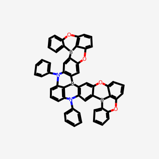 c1ccc(N2c3cc4c(cc3B3c5cc6c(cc5N(c5ccccc5)c5cccc2c53)B2c3ccccc3Oc3cccc(c32)O6)Oc2cccc3c2B4c2ccccc2O3)cc1